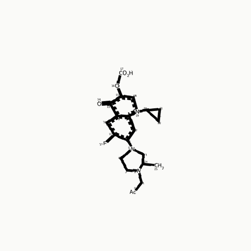 CC(=O)CN1CCN(c2cc3c(cc2F)c(=O)c(OC(=O)O)cn3C2CC2)CC1C